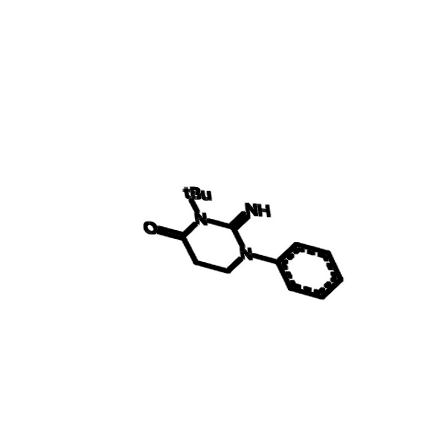 CC(C)(C)N1C(=N)N(c2ccccc2)CCC1=O